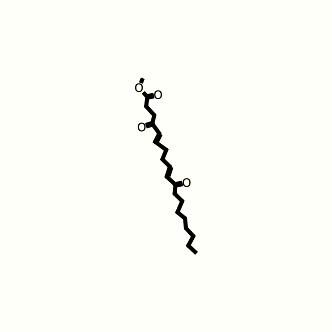 CCCCCCCCC(=O)/C=C/CC/C=C/C(=O)CCC(=O)OC